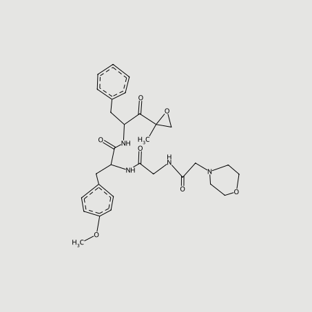 COc1ccc(CC(NC(=O)CNC(=O)CN2CCOCC2)C(=O)NC(Cc2ccccc2)C(=O)C2(C)CO2)cc1